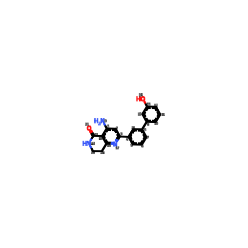 Nc1cc(-c2cccc(-c3cccc(O)c3)c2)nc2c1C(=O)NCC2